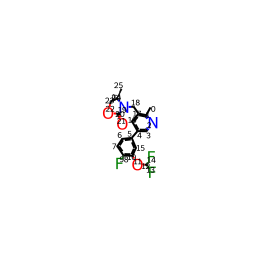 Cc1ncc(-c2ccc(F)c(OC(F)F)c2)cc1CN1C(=O)OC[C@H]1C